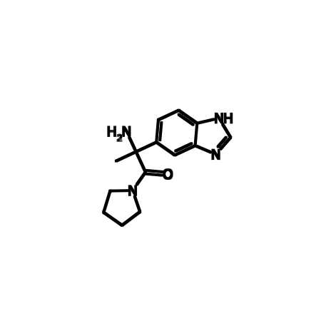 CC(N)(C(=O)N1CCCC1)c1ccc2[nH]cnc2c1